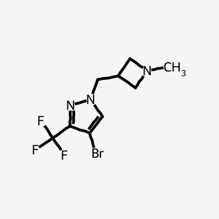 CN1CC(Cn2cc(Br)c(C(F)(F)F)n2)C1